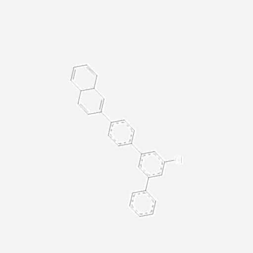 Clc1cc(-c2ccccc2)cc(-c2ccc(C3=CC4C=CC=CC4C=C3)cc2)c1